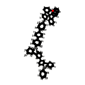 c1ccc(-c2ccccc2C2(c3cccc(-c4ccc(-c5ccc(-c6ccc(-n7c8ccccc8c8cc(-c9ccc%10c(c9)c9ccccc9n%10-c9ccccc9)ccc87)cc6)cc5)cc4)c3)c3ccccc3-c3ccccc32)cc1